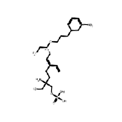 C=C/C(=C\C[C@H](CC(F)(F)F)OCCCC1C=CC=C([N+](=O)[O-])C1)CCC(N)(CO)COP(=O)(O)O